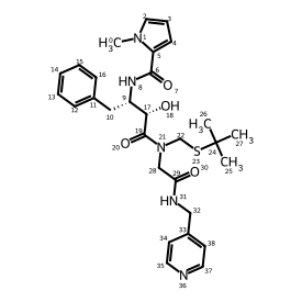 Cn1cccc1C(=O)N[C@@H](Cc1ccccc1)[C@H](O)C(=O)N(CSC(C)(C)C)CC(=O)NCc1ccncc1